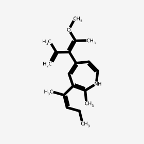 C=C(C)/C(C1=CC(/C(C)=C\CC)=C(C)NC=C1)=C(/C)OC